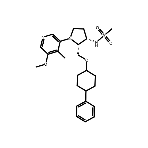 COc1cncc(N2CC[C@H](NS(C)(=O)=O)[C@@H]2COC2CCC(c3ccccc3)CC2)c1C